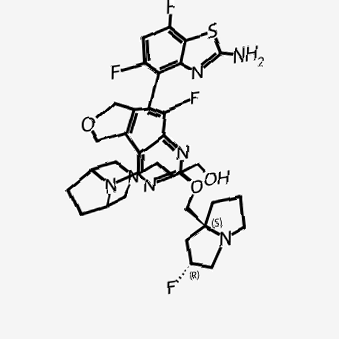 Nc1nc2c(-c3c4c(c5c(N6C7CCC6CN(CCCO)C7)nc(OC[C@@]67CCCN6C[C@H](F)C7)nc5c3F)COC4)c(F)cc(F)c2s1